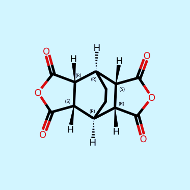 O=C1OC(=O)[C@H]2[C@H]3CC[C@@H]([C@@H]12)[C@@H]1C(=O)OC(=O)[C@H]31